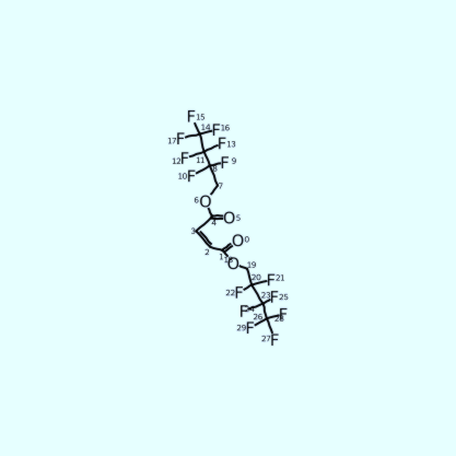 O=C(/C=C\C(=O)OCC(F)(F)C(F)(F)C(F)(F)F)OCC(F)(F)C(F)(F)C(F)(F)F